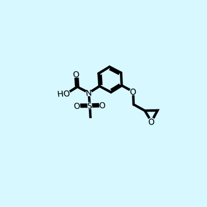 CS(=O)(=O)N(C(=O)O)c1cccc(OCC2CO2)c1